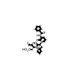 O=C(O)C[C@@H](NC(=O)[C@H](Cc1cccs1)n1cccc(NC(=O)c2ccccc2)c1=O)C(=O)CF